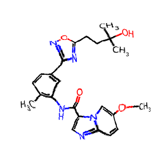 COc1ccc2ncc(C(=O)Nc3cc(-c4noc(CCC(C)(C)O)n4)ccc3C)n2c1